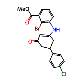 COC(=O)c1cccc(NC2=CC(=O)CC(c3ccc(Cl)cc3)C2)c1Br